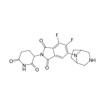 O=C1CCC(N2C(=O)c3cc(N4C5CCC4CNC5)c(F)c(F)c3C2=O)C(=O)N1